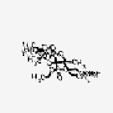 CCOP(=O)(OCC)C(CCCN=[N+]=[N-])(O[Si](C)(C)C(C)(C)C)P(=O)(OCC)OCC